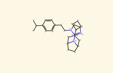 CC(C)c1ccc(CCN2CCN=C2N2C3CCC2CN(C2CCC2)C3)cc1